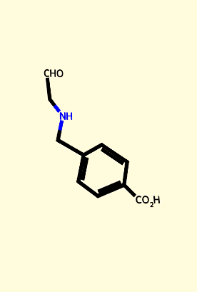 O=CCNCc1ccc(C(=O)O)cc1